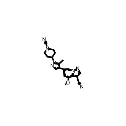 COc1cc(-c2cnn(C3CCN(C#N)CC3)c2C)cn2ncc(C#N)c12